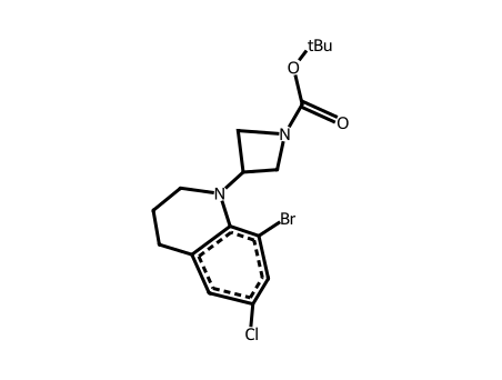 CC(C)(C)OC(=O)N1CC(N2CCCc3cc(Cl)cc(Br)c32)C1